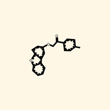 Cc1ccc(C(=O)COc2ccc3oc4ccccc4c3c2)cc1